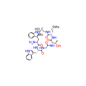 CC[C@H](C)[C@H](NC(=O)[C@H](CCSC)NC(=O)[C@@H](NC(=O)CNC(=O)[C@H](Cc1c[nH]c2ccccc12)NC(=O)[C@@H](N)Cc1c[nH]c2ccccc12)[C@@H](C)O)C(=O)O